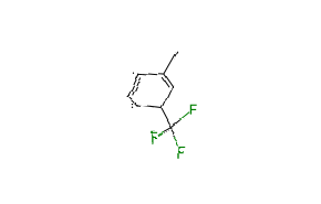 CC1=CC(C(F)(F)F)[C]C=[C]1